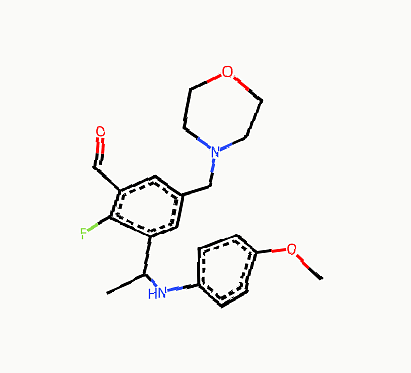 COc1ccc(N[C](C)c2cc(CN3CCOCC3)cc(C=O)c2F)cc1